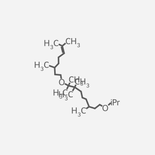 CC(C)=CCCC(C)CCOC(C)(C)C(C)(C)CCCC(C)CCOC(C)C